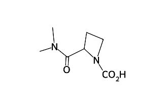 CN(C)C(=O)C1CCN1C(=O)O